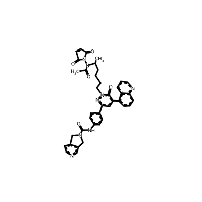 CC(=O)N(C(C)CCCCn1nc(-c2ccc(NC(=O)N3Cc4ccncc4C3)cc2)cc(-c2cccc3ncccc23)c1=O)N1C(=O)C=CC1=O